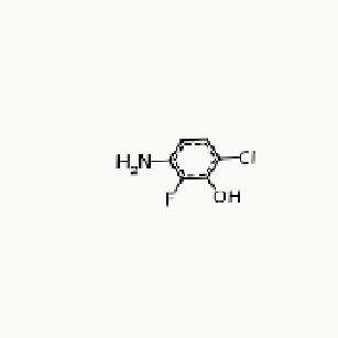 Nc1ccc(Cl)c(O)c1F